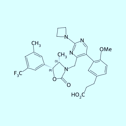 COc1ccc(CCC(=O)O)cc1-c1cnc(N2CCC2)nc1CN1C(=O)O[C@H](c2cc(C)cc(C(F)(F)F)c2)[C@@H]1C